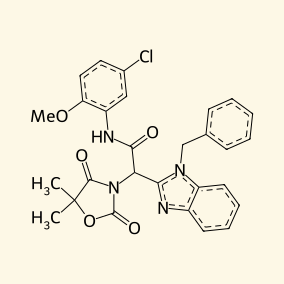 COc1ccc(Cl)cc1NC(=O)C(c1nc2ccccc2n1Cc1ccccc1)N1C(=O)OC(C)(C)C1=O